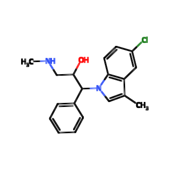 CNCC(O)C(c1ccccc1)n1cc(C)c2cc(Cl)ccc21